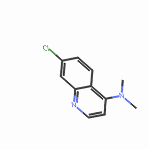 CN(C)c1ccnc2cc(Cl)ccc12